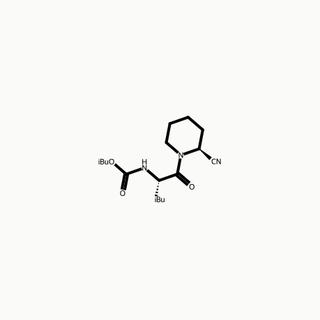 CCC(C)[C@H](NC(=O)OCC(C)C)C(=O)N1CCCC[C@H]1C#N